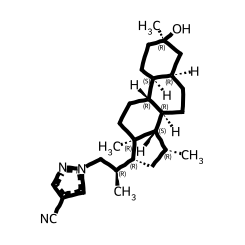 C[C@@H]1C[C@H]([C@@H](C)Cn2cc(C#N)cn2)[C@@]2(C)CC[C@H]3[C@@H](CC[C@@H]4C[C@](C)(O)CC[C@@H]43)[C@H]12